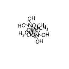 CC1(C)O[C@H]([C@@H]2OC(C)(C)O[C@H]2C(=O)N(CCO)CCO)[C@@H](C(=O)N(CCO)CCO)O1